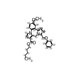 CCCCCOC(=O)c1ncn2c1Cn1c(COc3ccccc3)nnc1-c1cc(OC)ccc1-2